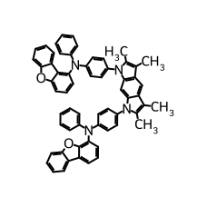 Cc1c(C)n(-c2ccc(N(c3ccccc3)c3cccc4c3oc3ccccc34)cc2)c2cc3c(cc12)c(C)c(C)n3-c1ccc(N(c2ccccc2)c2cccc3oc4ccccc4c23)cc1